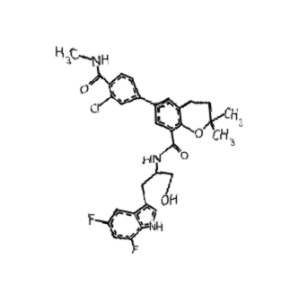 CNC(=O)c1ccc(-c2cc3c(c(C(=O)NC(CO)Cc4c[nH]c5c(F)cc(F)cc45)c2)OC(C)(C)CC3)cc1Cl